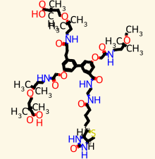 CCOC(C)(C)CCNC(=O)COc1cc(C(=O)NCCNC(=O)CCCC[C@@H]2SC[C@@H]3NC(=O)N[C@@H]32)cc(-c2cc(CCC(=O)NCCC(C)(C)OCCC(C)(C)C(=O)O)cc(OCC(=O)NCCC(C)(C)OCCC(C)(C)C(=O)O)c2)c1